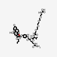 CCCC1O[C@@H]2C[C@H]3[C@@H]4CCC5=CC(=O)C=C[C@]5(C)[C@H]4C(O)C[C@]3(C)[C@]2(C(=O)COc2ccc(NC(=O)[C@H](CCCNC(N)=O)NC(=O)[C@@H](NC(=O)CCOCCOCCOCCOCCNC(=O)O)C(C)C)cc2)O1